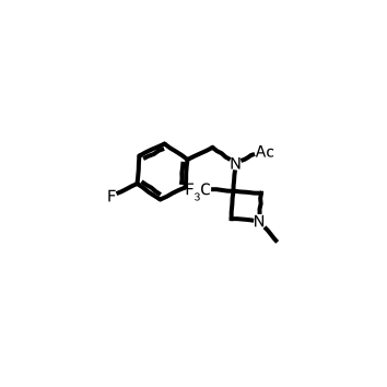 CC(=O)N(Cc1ccc(F)cc1)C1(C(F)(F)F)CN(C)C1